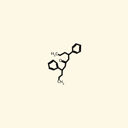 CCCC(CC(=O)CC(CCC)c1ccccc1)c1ccccc1